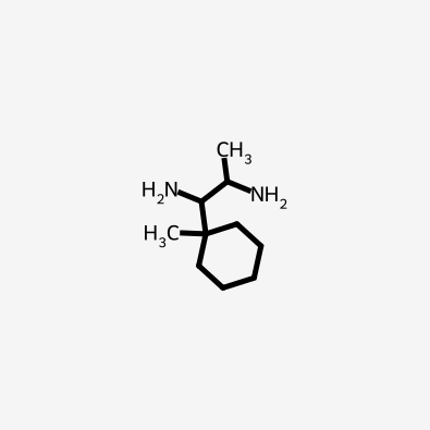 CC(N)C(N)C1(C)CCCCC1